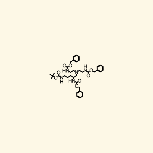 CC(C)(C)OC(=O)NCCCC(CN(CCNC(=O)OCc1ccccc1)CCNC(=O)OCc1ccccc1)NC(=O)OCc1ccccc1